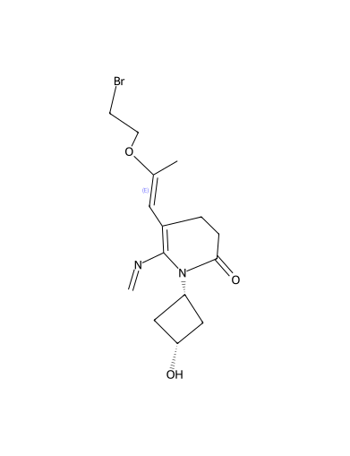 C=NC1=C(/C=C(\C)OCCBr)CCC(=O)N1[C@H]1C[C@@H](O)C1